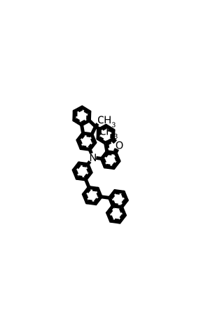 CC1(C)c2ccccc2-c2ccc(N(c3cccc(-c4cccc(-c5cccc6ccccc56)c4)c3)c3cccc4oc5ccccc5c34)cc21